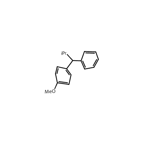 [CH2]C(C)C(c1ccccc1)c1ccc(OC)cc1